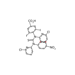 O=C(O)c1cc(I)c(N(C(=S)N(c2ccc([N+](=O)[O-])cc2)c2cccc(Cl)n2)c2cccc(Cl)n2)c(I)c1